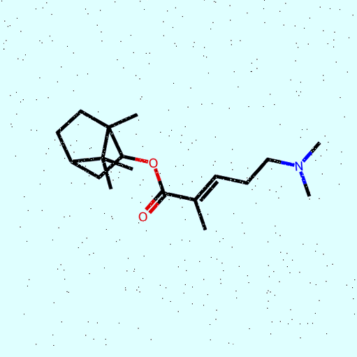 CC(=CCCN(C)C)C(=O)OC1CC2CCC1(C)C2(C)C